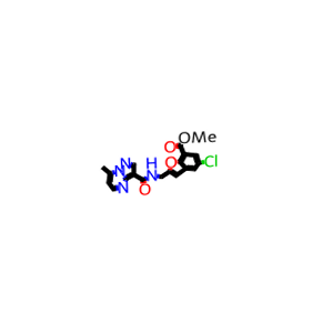 COC(=O)c1cc(Cl)cc2cc(CNC(=O)c3cnn4c(C)ccnc34)oc12